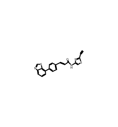 C#Cc1nc(NC(=O)/C=C/c2ccc(-c3cccc4ncsc34)cc2)cs1